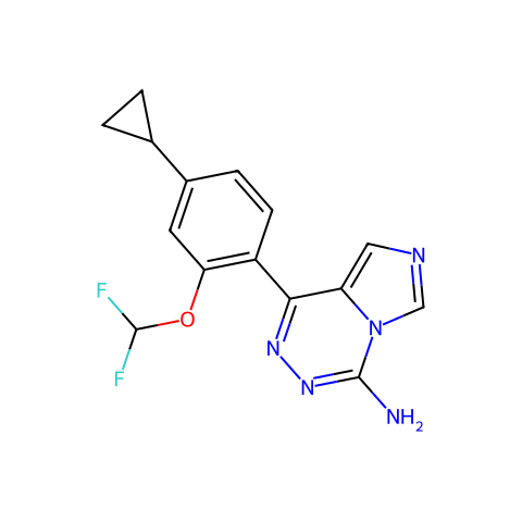 Nc1nnc(-c2ccc(C3CC3)cc2OC(F)F)c2cncn12